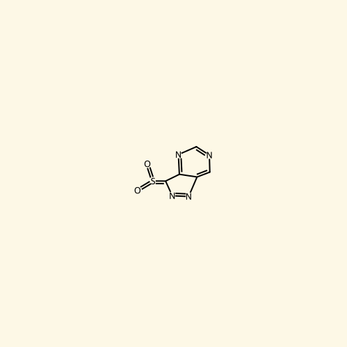 O=S(=O)=C1N=Nc2cncnc21